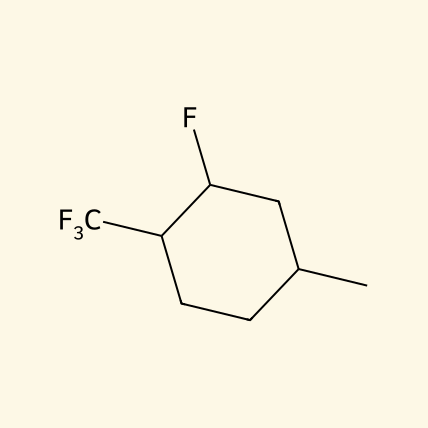 CC1CCC(C(F)(F)F)C(F)C1